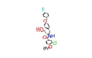 CC(C)Oc1ccc(C(=O)N[C@H](CCO)Cc2ccc(OCc3ccc(F)cc3)cc2)cc1Cl